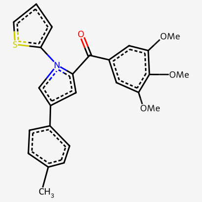 COc1cc(C(=O)c2cc(-c3ccc(C)cc3)cn2-c2cccs2)cc(OC)c1OC